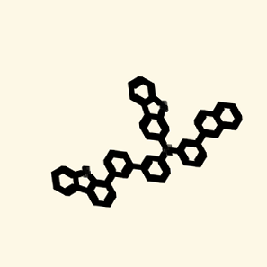 c1cc(-c2cccc(N(c3cccc(-c4ccc5ccccc5c4)c3)c3ccc4c(c3)sc3ccccc34)c2)cc(-c2cccc3c2sc2ccccc23)c1